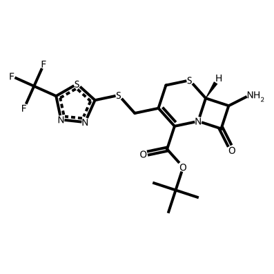 CC(C)(C)OC(=O)C1=C(CSc2nnc(C(F)(F)F)s2)CS[C@@H]2C(N)C(=O)N12